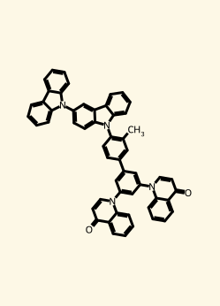 Cc1cc(-c2cc(-n3ccc(=O)c4ccccc43)cc(-n3ccc(=O)c4ccccc43)c2)ccc1-n1c2ccccc2c2cc(-n3c4ccccc4c4ccccc43)ccc21